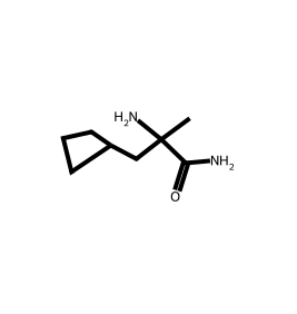 CC(N)(CC1CCC1)C(N)=O